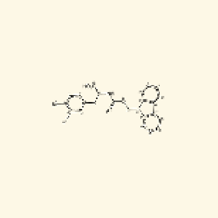 O=C(N[C@@H](Cc1ccc(Br)c(F)c1)C(=O)O)OCC1c2ccccc2-c2ccccc21